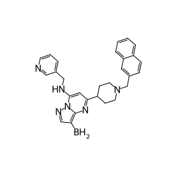 Bc1cnn2c(NCc3cccnc3)cc(C3CCN(Cc4ccc5ccccc5c4)CC3)nc12